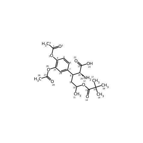 CC(=O)Oc1ccc(C(CC(C)OC(=O)C(C)(C)C)[C@H](N)C(=O)O)cc1OC(C)=O